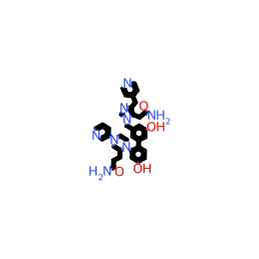 NC(=O)CCC1CN(c2cccnc2)CCN1c1cc(O)ccc1-c1cc(O)cc(Cn2cnc(Cc3ccncc3)c2CC(N)=O)c1